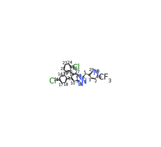 FC(F)(F)c1ccc(Cc2nnc3cc(-c4ccc(Cl)cc4)c(-c4ccccc4Cl)cn23)cn1